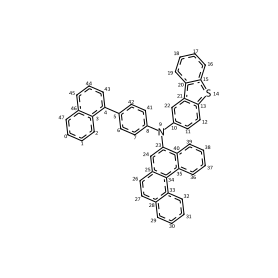 c1ccc2c(-c3ccc(N(c4ccc5sc6ccccc6c5c4)c4cc5ccc6ccccc6c5c5ccccc45)cc3)cccc2c1